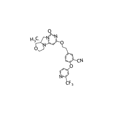 C[C@@]12COCCN1c1cc(OCCc3ccc(Oc4ccnc(C(F)(F)F)c4)c(C#N)c3)nc(=O)n1C2